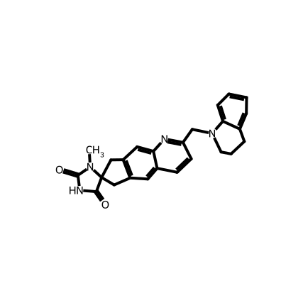 CN1C(=O)NC(=O)C12Cc1cc3ccc(CN4CCCc5ccccc54)nc3cc1C2